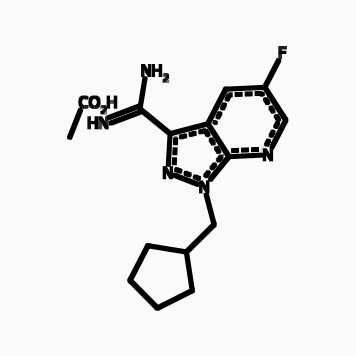 CC(=O)O.N=C(N)c1nn(CC2CCCC2)c2ncc(F)cc12